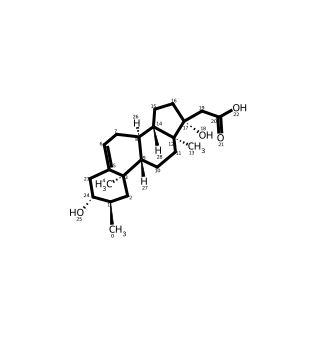 C[C@@H]1C[C@@]2(C)C(=CC[C@@H]3[C@@H]2CC[C@@]2(C)[C@H]3CC[C@@]2(O)CC(=O)O)C[C@H]1O